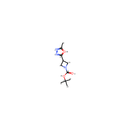 Cc1nnc(C2CN(C(=O)OC(C)(C)C)C2)o1